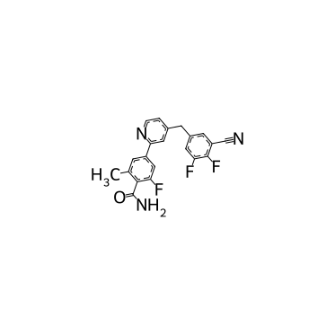 Cc1cc(-c2cc(Cc3cc(F)c(F)c(C#N)c3)ccn2)cc(F)c1C(N)=O